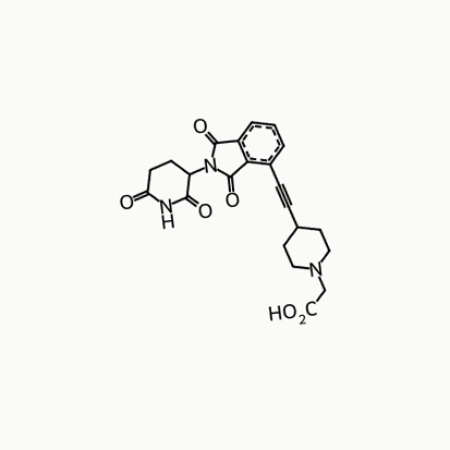 O=C(O)CN1CCC(C#Cc2cccc3c2C(=O)N(C2CCC(=O)NC2=O)C3=O)CC1